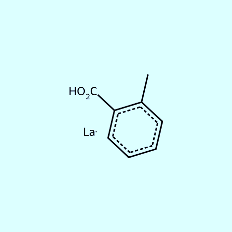 Cc1ccccc1C(=O)O.[La]